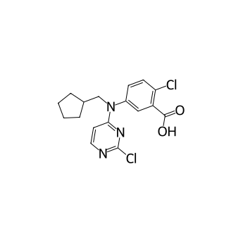 O=C(O)c1cc(N(CC2CCCC2)c2ccnc(Cl)n2)ccc1Cl